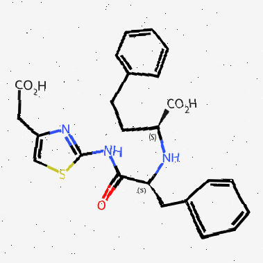 O=C(O)Cc1csc(NC(=O)[C@H](Cc2ccccc2)N[C@@H](CCc2ccccc2)C(=O)O)n1